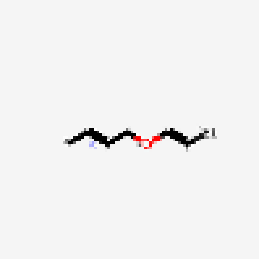 [CH2]CC=COC/C=C/C